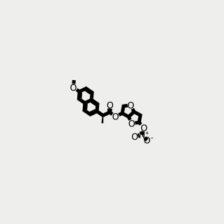 COc1ccc2cc([C@H](C)C(=O)OC3COC4CC(O[N+](=O)[O-])OC43)ccc2c1